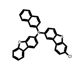 Clc1ccc2c(c1)sc1ccc(N(c3ccc4ccccc4c3)c3ccc4c(c3)oc3ccccc34)cc12